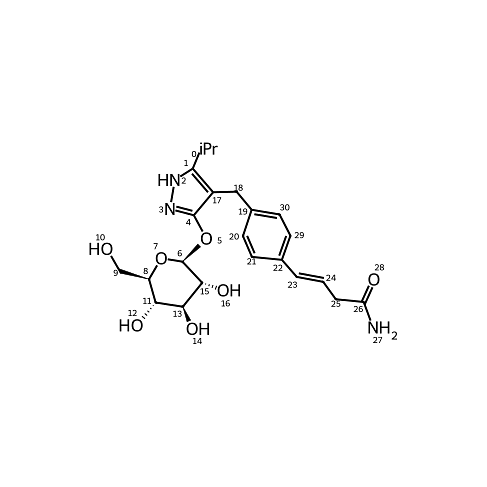 CC(C)c1[nH]nc(O[C@@H]2O[C@H](CO)[C@@H](O)[C@H](O)[C@H]2O)c1Cc1ccc(/C=C/CC(N)=O)cc1